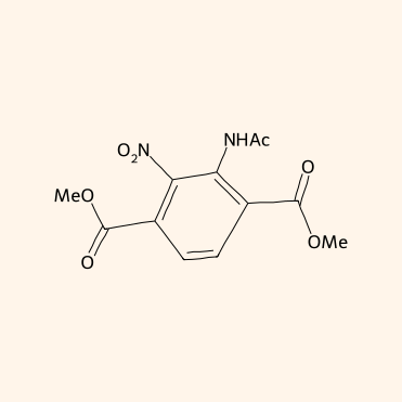 COC(=O)c1ccc(C(=O)OC)c([N+](=O)[O-])c1NC(C)=O